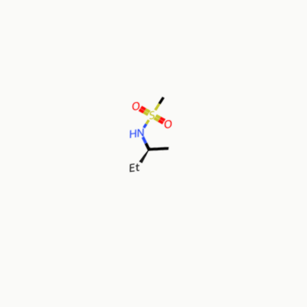 CC[C@H](C)NS(C)(=O)=O